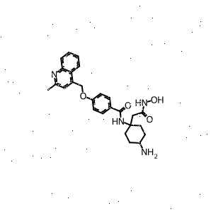 Cc1cc(COc2ccc(C(=O)NC3(CC(=O)NO)CCC(N)CC3)cc2)c2ccccc2n1